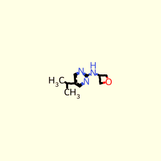 CC(C)c1cnc(NC2COC2)nc1